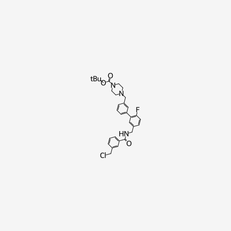 CC(C)(C)OC(=O)N1CCN(Cc2cccc(-c3cc(CNC(=O)c4cccc(CCl)c4)ccc3F)c2)CC1